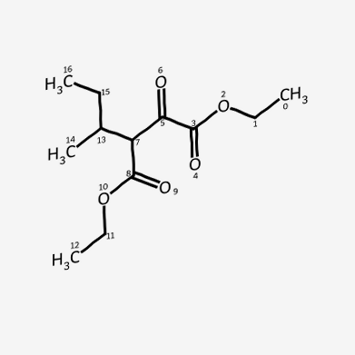 CCOC(=O)C(=O)C(C(=O)OCC)C(C)CC